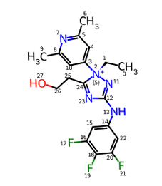 CC[N@@+]1(c2cc(C)nc(C)c2)N=C(Nc2cc(F)c(F)c(F)c2)N=C1CCO